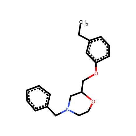 CCc1cccc(OCC2CN(Cc3ccccc3)CCO2)c1